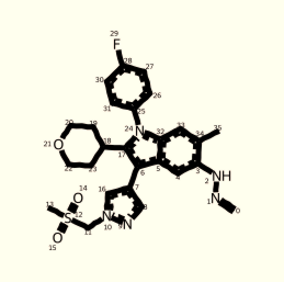 C=NNc1cc2c(-c3cnn(CS(C)(=O)=O)c3)c(C3CCOCC3)n(-c3ccc(F)cc3)c2cc1C